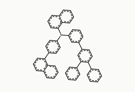 c1ccc(-c2ccc(-c3cccc(N(c4ccc(-c5cccc6ccccc56)cc4)c4cccc5ccccc45)c3)cc2-c2ccccc2)cc1